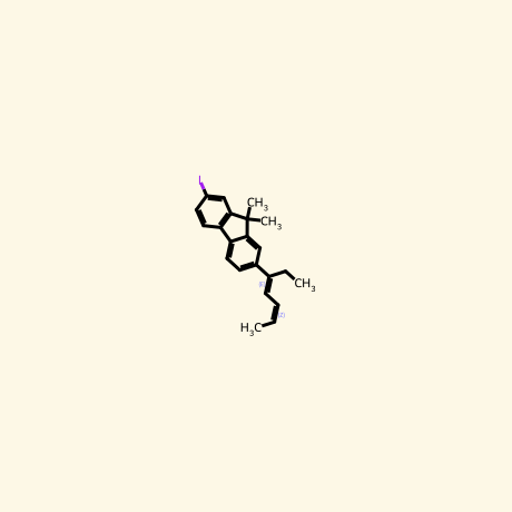 C/C=C\C=C(/CC)c1ccc2c(c1)C(C)(C)c1cc(I)ccc1-2